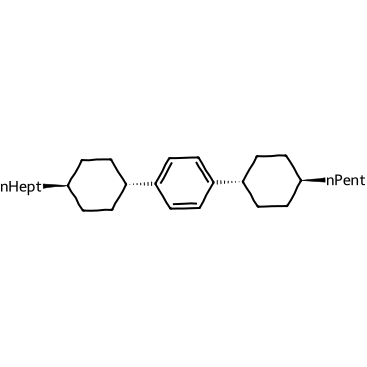 CCCCCCC[C@H]1CC[C@H](c2ccc([C@H]3CC[C@H](CCCCC)CC3)cc2)CC1